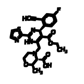 C#Cc1cc(F)ccc1[C@@H]1N=C(c2nccs2)NC(CN2CCO[C@H](C)[C@H]2C(=O)O)=C1C(=O)OCC